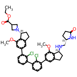 CCOC(=O)C1CN([C@@H]2CCc3cc(-c4cccc(-c5cccc(-c6cc7c(c(OC)c6)[C@@H](NC[C@@H]6CCC(=O)N6)CC7)c5Cl)c4Cl)cc(OC)c32)C1